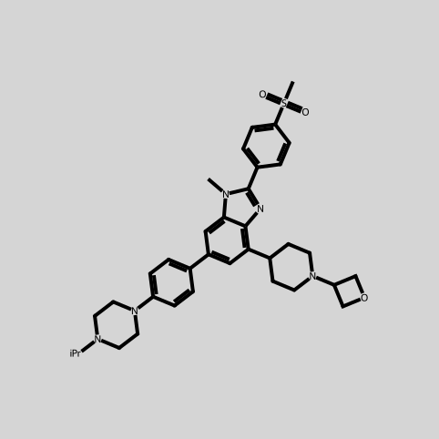 CC(C)N1CCN(c2ccc(-c3cc(C4CCN(C5COC5)CC4)c4nc(-c5ccc(S(C)(=O)=O)cc5)n(C)c4c3)cc2)CC1